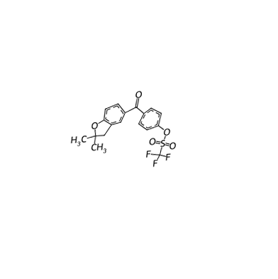 CC1(C)Cc2cc(C(=O)c3ccc(OS(=O)(=O)C(F)(F)F)cc3)ccc2O1